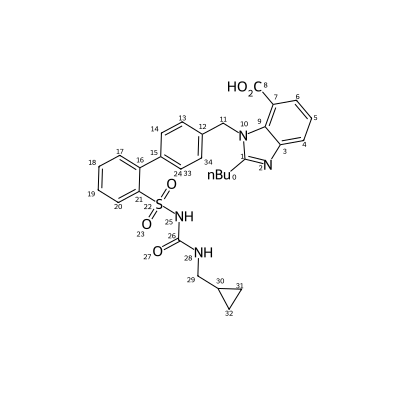 CCCCc1nc2cccc(C(=O)O)c2n1Cc1ccc(-c2ccccc2S(=O)(=O)NC(=O)NCC2CC2)cc1